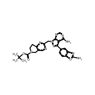 CC(C)(C)OC(=O)N1CCc2nc(Cn3nc(-c4ccc5oc(N)nc5c4)c4c(N)ncnc43)ncc2C1